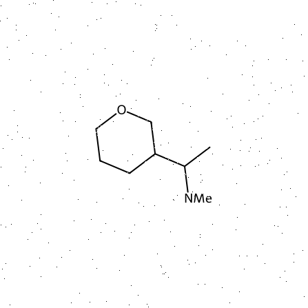 CNC(C)C1CCCOC1